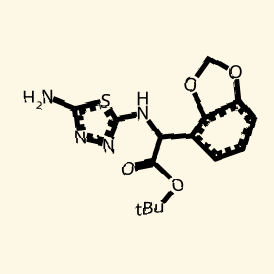 CC(C)(C)OC(=O)C(Nc1nnc(N)s1)c1cccc2c1OCO2